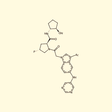 CC(=O)c1cn(CC(=O)N2C[C@H](F)C[C@H]2C(=O)N[C@@H]2CCC[C@H]2O)c2ccc(Nc3cncnc3)cc12